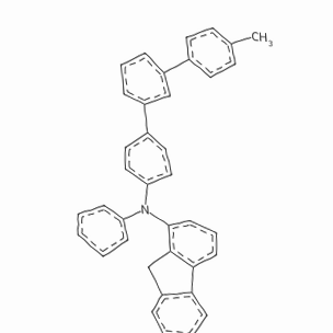 Cc1ccc(-c2cccc(-c3ccc(N(c4ccccc4)c4cccc5c4Cc4ccccc4-5)cc3)c2)cc1